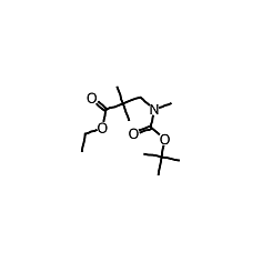 CCOC(=O)C(C)(C)CN(C)C(=O)OC(C)(C)C